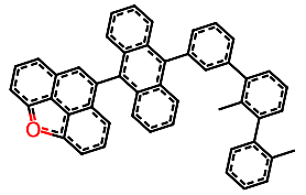 Cc1ccccc1-c1cccc(-c2cccc(-c3c4ccccc4c(-c4cc5cccc6oc7cccc4c7c56)c4ccccc34)c2)c1C